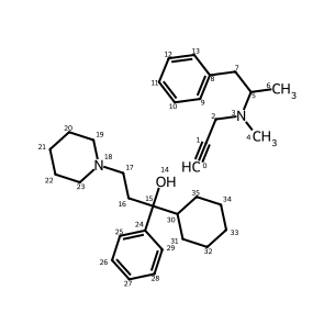 C#CCN(C)C(C)Cc1ccccc1.OC(CCN1CCCCC1)(c1ccccc1)C1CCCCC1